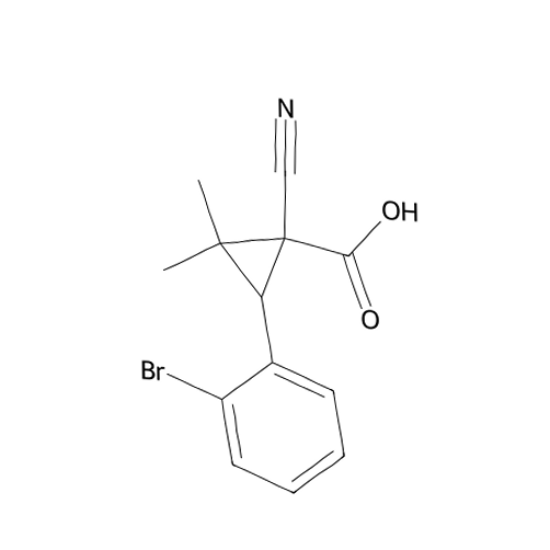 CC1(C)C(c2ccccc2Br)C1(C#N)C(=O)O